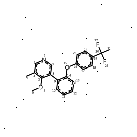 COc1c(C)cncc1-c1cccnc1Oc1ccc(C(C)(F)F)cc1